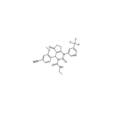 CCNC(=O)N1C(=O)N(c2cncc(C(F)(F)F)c2)C2=C(C(=O)CC2)C1c1ccc(C#N)cc1SC